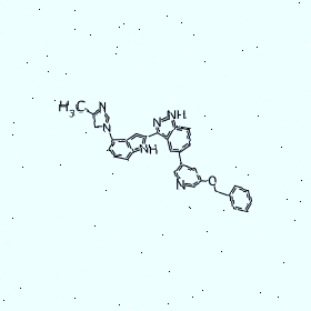 Cc1cn(-c2cccc3[nH]c(-c4n[nH]c5ccc(-c6cncc(OCc7ccccc7)c6)cc45)cc23)cn1